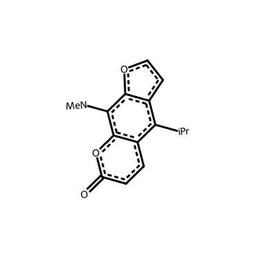 CNc1c2occc2c(C(C)C)c2ccc(=O)oc12